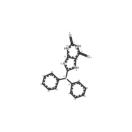 O=c1[nH]c(=O)c2[nH]c(P(c3ccccc3)c3ccccc3)nc2[nH]1